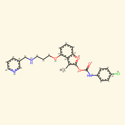 Cc1c(OC(=O)Nc2ccc(Cl)cc2)oc2cccc(OCCCNCc3cccnc3)c12